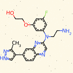 Cc1n[nH]cc1-c1ccc2ncc(N(CCN)c3cc(F)cc(OCCO)c3)nc2c1